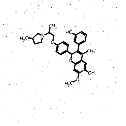 COc1cc2c(cc1O)C(C)=C(c1cccc(O)c1)C(c1ccc(OCC(C)N3CCC(C)C3)cc1)O2